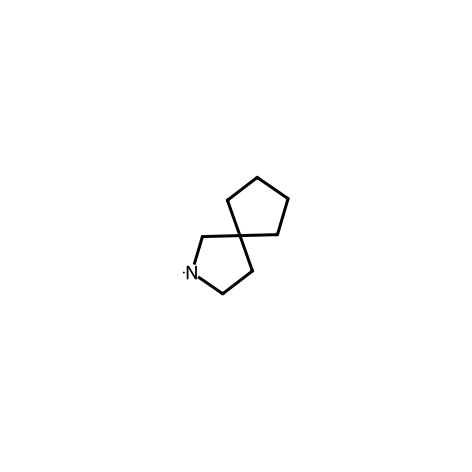 C1CCC2(C1)CC[N]C2